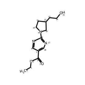 CCOC(=O)c1cnc(N2CCC(CCO)C2)nc1